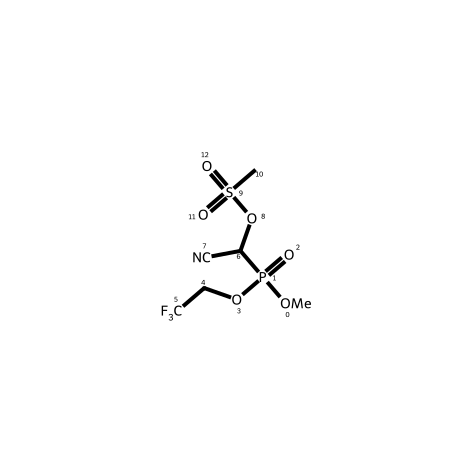 COP(=O)(OCC(F)(F)F)C(C#N)OS(C)(=O)=O